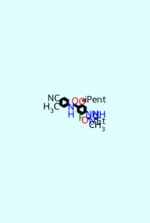 CCCC(C)Oc1cc(NC(=O)N(C)C(=N)CC)c(F)cc1C(=O)Nc1ccc(C#N)c(C)c1